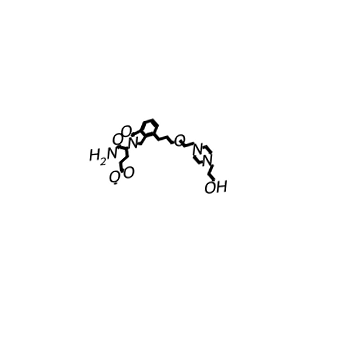 COC(=O)CCC(C(N)=O)N1Cc2c(CCCOCCN3CCN(CCCO)CC3)cccc2C1=O